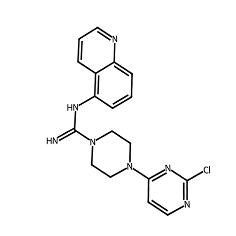 N=C(Nc1cccc2ncccc12)N1CCN(c2ccnc(Cl)n2)CC1